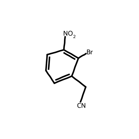 N#CCc1cccc([N+](=O)[O-])c1Br